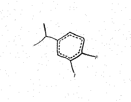 CC(C)c1ccc(F)c(I)c1